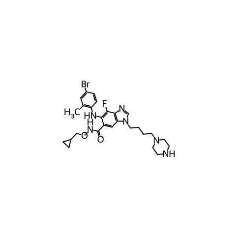 Cc1cc(Br)ccc1Nc1c(C(=O)NOCC2CC2)cc2c(ncn2CCCCN2CCNCC2)c1F